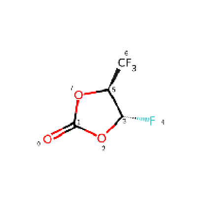 O=C1O[C@@H](F)[C@H](C(F)(F)F)O1